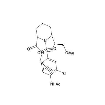 C#CCN1C[C@H](COC)C2CCCC(C1=O)N2S(=O)(=O)c1ccc(NC(C)=O)c(Cl)c1